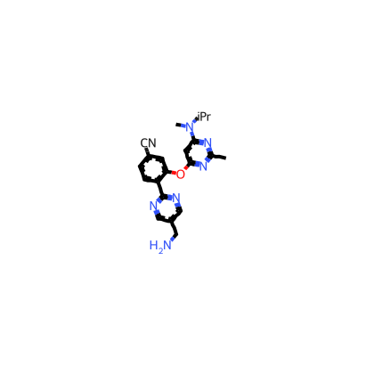 Cc1nc(Oc2cc(C#N)ccc2-c2ncc(CN)cn2)cc(N(C)C(C)C)n1